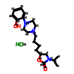 CC(C)N1CC(CCCCN2CCN(c3ccccc3O)CC2)OC1=O.Cl